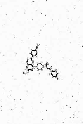 N#Cc1ccc(-c2ccc3nc(N)nc(N4CCN(C(=O)COc5ccc(Cl)cc5)CC4)c3n2)cc1